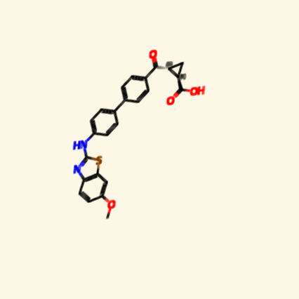 COc1ccc2nc(Nc3ccc(-c4ccc(C(=O)[C@@H]5C[C@H]5C(=O)O)cc4)cc3)sc2c1